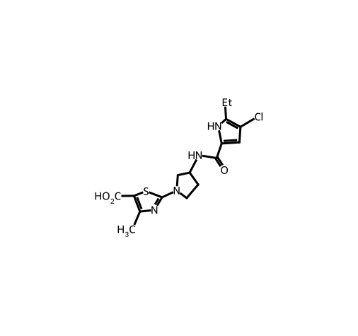 CCc1[nH]c(C(=O)NC2CCN(c3nc(C)c(C(=O)O)s3)C2)cc1Cl